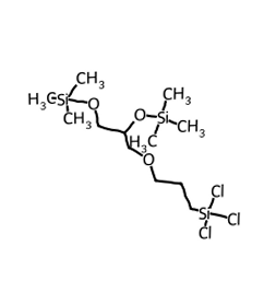 C[Si](C)(C)OCC(COCCC[Si](Cl)(Cl)Cl)O[Si](C)(C)C